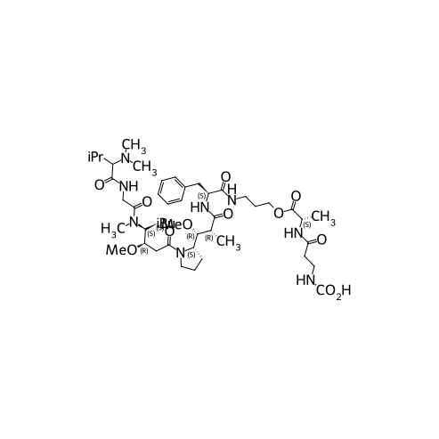 CC[C@H](C)[C@@H]([C@@H](CC(=O)N1CCC[C@H]1[C@H](OC)[C@@H](C)C(=O)N[C@@H](Cc1ccccc1)C(=O)NCCCOC(=O)[C@H](C)NC(=O)CCNC(=O)O)OC)N(C)C(=O)CNC(=O)C(C(C)C)N(C)C